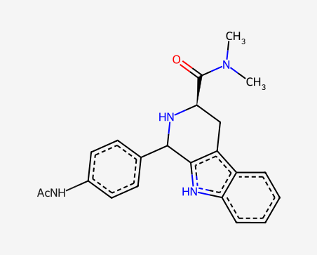 CC(=O)Nc1ccc(C2N[C@@H](C(=O)N(C)C)Cc3c2[nH]c2ccccc32)cc1